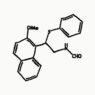 COc1ccc2ccccc2c1C(CNC=O)Sc1ccccc1